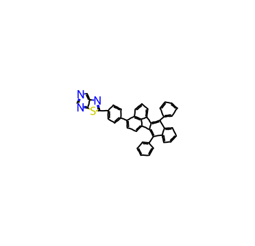 c1ccc(-c2c3c(c(-c4ccccc4)c4ccccc24)-c2ccc(-c4ccc(-c5nc6cncnc6s5)cc4)c4cccc-3c24)cc1